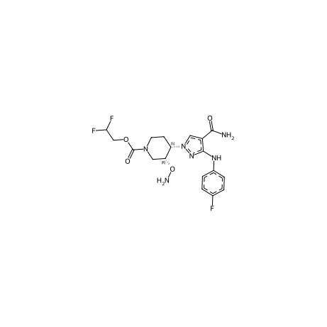 NO[C@@H]1CN(C(=O)OCC(F)F)CC[C@@H]1n1cc(C(N)=O)c(Nc2ccc(F)cc2)n1